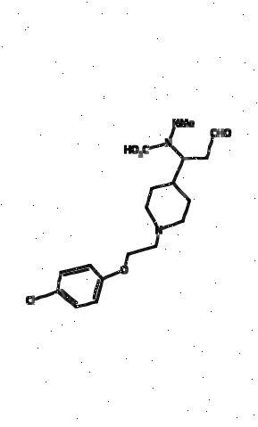 CNN(C(=O)O)C(CC=O)C1CCN(CCOc2ccc(Cl)cc2)CC1